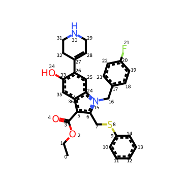 CCOC(=O)c1c(CSc2ccccc2)n(Cc2ccc(F)cc2)c2cc(C3=CCNCC3)c(O)cc12